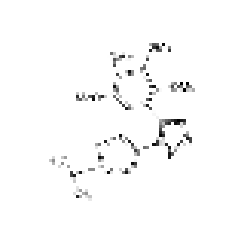 COc1cc(-c2cnnn2-c2ccc(N(C)C)cc2)c(OC)c(OC)c1OC